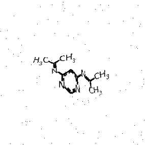 CC(C)=Nc1cc(N=C(C)C)ncn1